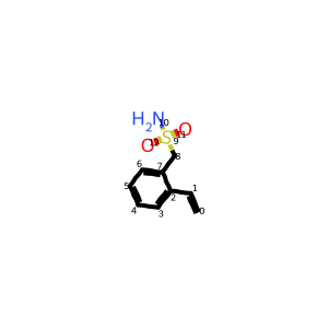 C=Cc1ccccc1CS(N)(=O)=O